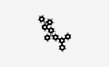 c1ccc(-c2cc(-c3ccc(N(c4ccccc4)c4cccc(-c5cccc6c5c5ccccc5n6-c5ccccc5)c4)cc3)cc(C3CCCCC3)c2)cc1